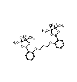 CC1(C)OB(c2ccccc2OCCCOc2ccccc2B2OC(C)(C)C(C)(C)O2)OC1(C)C